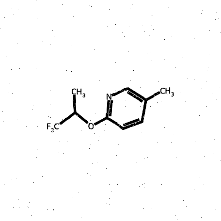 Cc1ccc(OC(C)C(F)(F)F)nc1